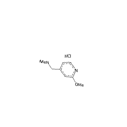 CNCc1ccnc(OC)c1.Cl